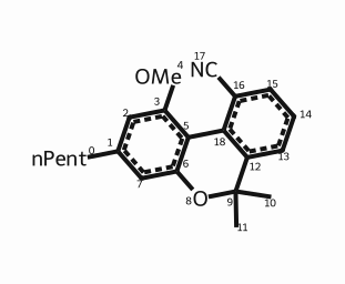 CCCCCc1cc(OC)c2c(c1)OC(C)(C)c1cccc(C#N)c1-2